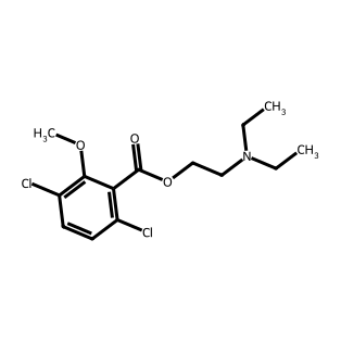 CCN(CC)CCOC(=O)c1c(Cl)ccc(Cl)c1OC